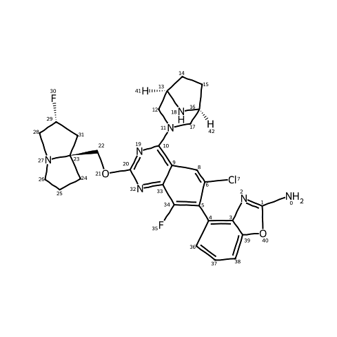 Nc1nc2c(-c3c(Cl)cc4c(N5C[C@H]6CC[C@@H](C5)N6)nc(OC[C@@]56CCCN5C[C@H](F)C6)nc4c3F)cccc2o1